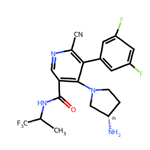 CC(NC(=O)c1cnc(C#N)c(-c2cc(F)cc(F)c2)c1N1CC[C@H](N)C1)C(F)(F)F